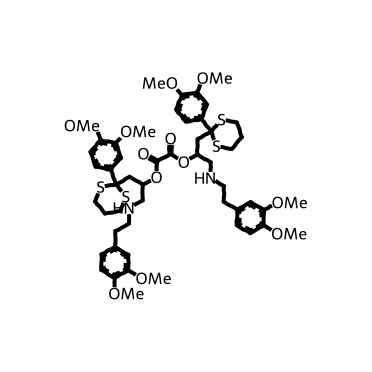 COc1ccc(CCNCC(CC2(c3ccc(OC)c(OC)c3)SCCCS2)OC(=O)C(=O)OC(CNCCc2ccc(OC)c(OC)c2)CC2(c3ccc(OC)c(OC)c3)SCCCS2)cc1OC